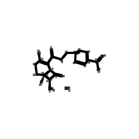 Cl.N[C@@H]1C(=O)N2C(C(=O)OCc3ccc([N+](=O)[O-])cc3)=C(Cl)CS[C@H]12